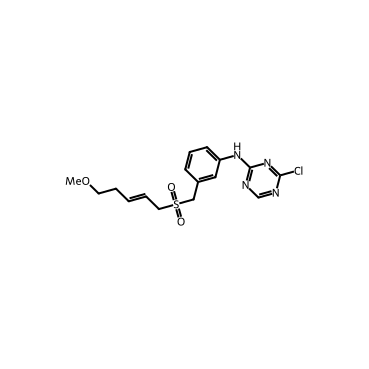 COCCC=CCS(=O)(=O)Cc1cccc(Nc2ncnc(Cl)n2)c1